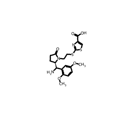 COc1ccc(OC)c(C(N)[C@H]2CCC(=O)N2CCSc2nc(C(=O)O)cs2)c1